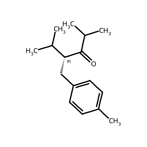 Cc1ccc(C[C@@H](C(=O)C(C)C)C(C)C)cc1